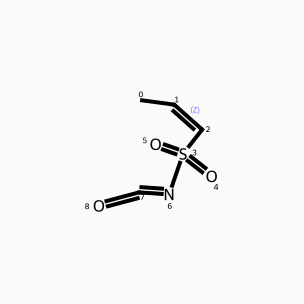 C/C=C\S(=O)(=O)N=C=O